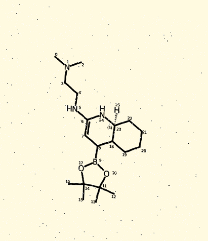 CN(C)CCNC1=CC(B2OC(C)(C)C(C)(C)O2)C2CCCC[C@@H]2N1